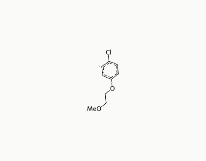 COCCOc1c[c]c(Cl)cc1